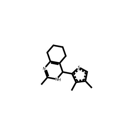 CC1=NC2=C(CCCC2)C(c2scc(C)c2C)N1